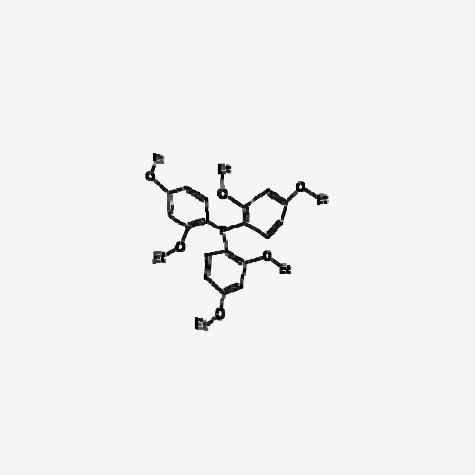 CCOc1ccc(P(c2ccc(OCC)cc2OCC)c2ccc(OCC)cc2OCC)c(OCC)c1